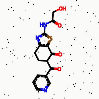 O=C(CO)Nc1nc2c(s1)C(=O)C(C(=O)c1cccnc1)CC2